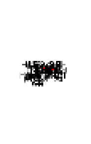 CC(=O)NC(C(O)CC(=O)C(=O)O)C(O)C(O)C(O)CO.CC(=O)N[C@@H]1[C@@H](O)CC(O)(C(=O)O)O[C@H]1C(O)[C@H](O)CO.CC(=O)N[C@@H]1[C@@H](O)CC(O)(C(=O)O)O[C@H]1C(O)[C@H](O)CO.NC(C(O)CC(=O)C(=O)O)C(O)C(O)C(O)CO